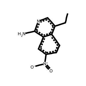 CCc1cnc(N)c2cc([N+](=O)[O-])ccc12